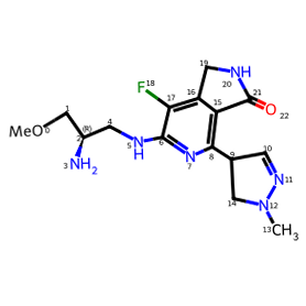 COC[C@H](N)CNc1nc(C2C=NN(C)C2)c2c(c1F)CNC2=O